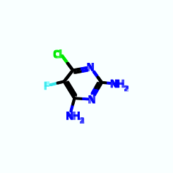 Nc1nc(N)c(F)c(Cl)n1